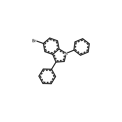 Brc1ccc2c(c1)c(-c1ccccc1)cn2-c1ccccc1